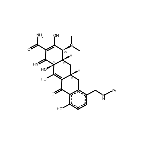 CC(C)NCc1ccc(O)c2c1C[C@H]1C[C@H]3[C@H](N(C)C)C(O)=C(C(N)=O)C(=N)[C@@]3(O)C(O)=C1C2=O